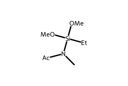 CC[Si](OC)(OC)N(C)C(C)=O